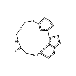 O=C1CNc2ccn3ncc(c3n2)-c2cccc(c2)OCCCN1